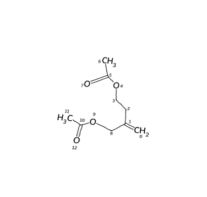 C=C(CCOC(C)=O)COC(C)=O